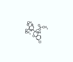 COc1ncc(C2(COC(C)=O)COc3cc(Cl)ccc3N2)nc1OC